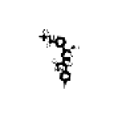 CC[C@@H](C)c1nc2oc(-c3ccc(F)cc3)c(C(=O)NC)c2cc1-c1cccc(C(=O)NC(C)(C)C#N)c1